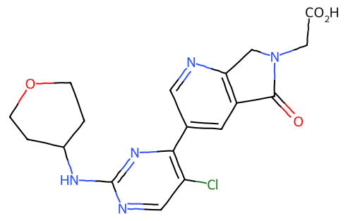 O=C(O)CN1Cc2ncc(-c3nc(NC4CCOCC4)ncc3Cl)cc2C1=O